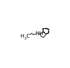 CCCN[C@@H]1CCc2ccccc21